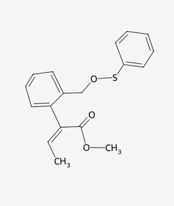 CC=C(C(=O)OC)c1ccccc1COSc1ccccc1